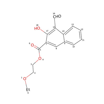 CCOCCOC(=O)c1cc2ccccc2c(C=O)c1O